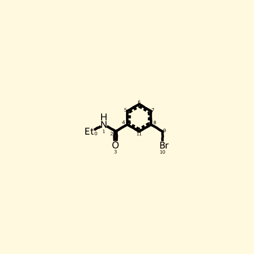 CCNC(=O)c1cccc(CBr)c1